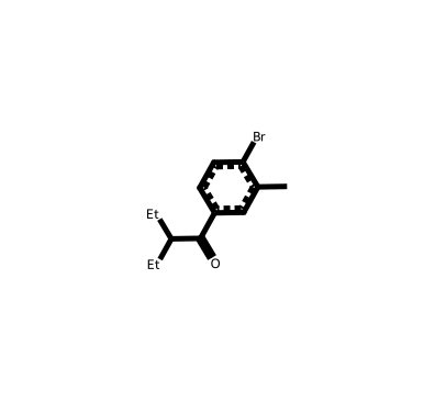 CCC(CC)C(=O)c1ccc(Br)c(C)c1